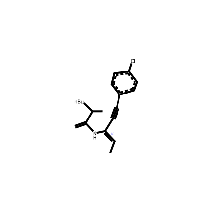 C=C(N/C(C#Cc1ccc(Cl)cc1)=C\C)C(C)CCCC